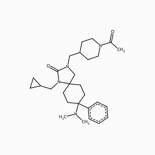 CC(=O)N1CCC(CN2CC3(CCC(c4ccccc4)(N(C)C)CC3)N(CC3CC3)C2=O)CC1